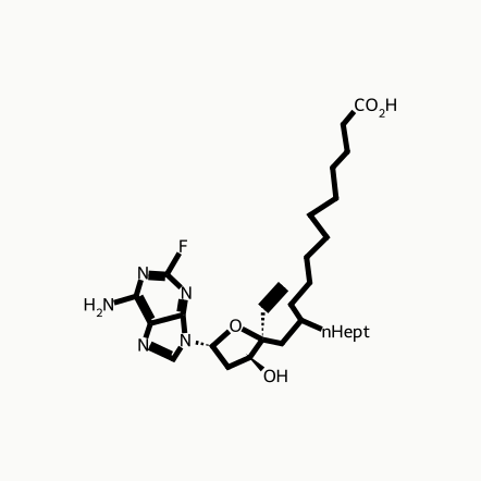 C#C[C@@]1(CC(CCCCCCC)CCCCCCCCCC(=O)O)O[C@@H](n2cnc3c(N)nc(F)nc32)C[C@@H]1O